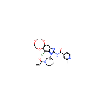 C=CC(=O)N1CCCC[C@@H](n2c(NC(=O)c3ccnc(C)c3)nc3cc4c(c(Cl)c32)OCCOCCO4)C1